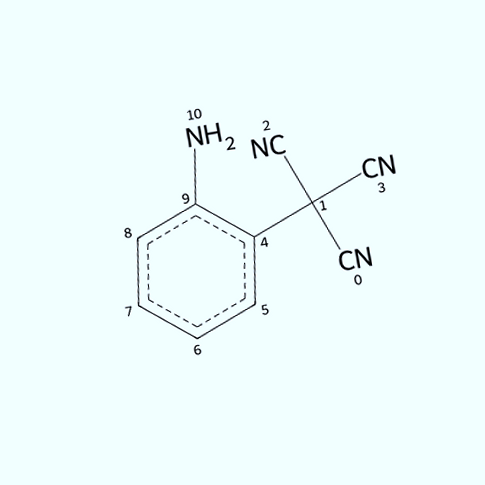 N#CC(C#N)(C#N)c1ccccc1N